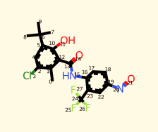 Cc1c(Cl)cc(C(C)(C)C)c(O)c1C(=O)Nc1ccc(N=O)cc1C(F)(F)F